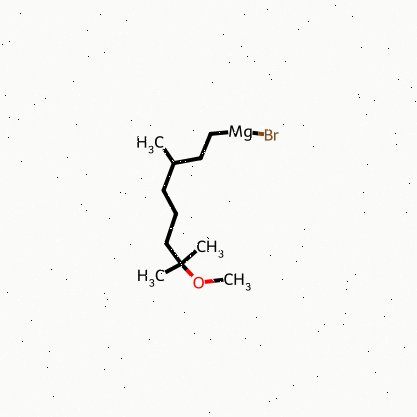 COC(C)(C)CCCC(C)C[CH2][Mg][Br]